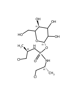 C[C@H](CCl)NP(=O)(N[C@H](C)CCl)O[C@@H]1OC(CO)[C@@H](O)C(O)C1O